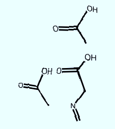 C=NCC(=O)O.CC(=O)O.CC(=O)O